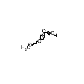 COCCCCOC1CCN(C(=O)C2CC(OCI)C2)CC1